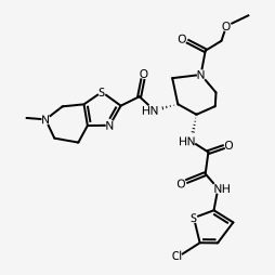 COCC(=O)N1CC[C@H](NC(=O)C(=O)Nc2ccc(Cl)s2)[C@H](NC(=O)c2nc3c(s2)CN(C)CC3)C1